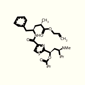 C=CCOC(=O)[C@@H](C)C[C@H](Cc1ccccc1)NC(=O)c1csc([C@@H](C[C@@H](NC)C(C)C)OC(=O)C(C)C)n1